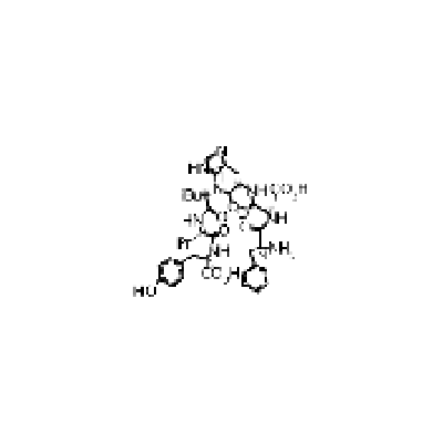 CC[C@H](C)[C@H](NC(=O)[C@H](Cc1c[nH]cn1)NC(=O)[C@H](CC(=O)O)NC(=O)[C@@H](N)Cc1ccccc1)C(=O)N[C@H](C(=O)N[C@@H](Cc1ccc(O)cc1)C(=O)O)C(C)C